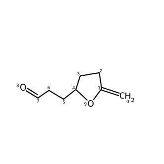 C=C1CCC(CCC=O)O1